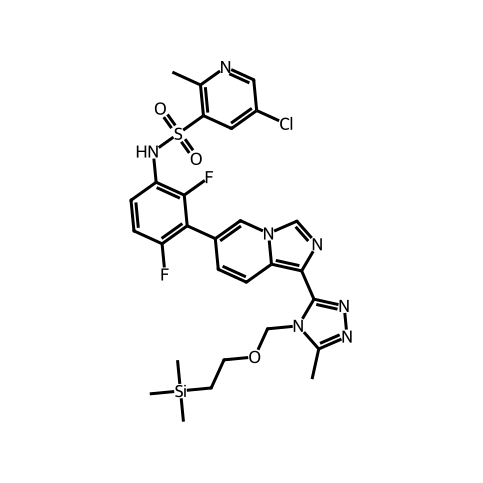 Cc1ncc(Cl)cc1S(=O)(=O)Nc1ccc(F)c(-c2ccc3c(-c4nnc(C)n4COCC[Si](C)(C)C)ncn3c2)c1F